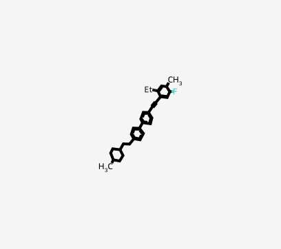 CCC1=CC(C)C(F)C=C1C#Cc1ccc(-c2ccc(CCC3CCC(C)CC3)cc2)cc1